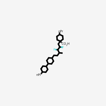 CCCC1CCC(C2CCC(CCC(C)C(F)C(F)CC3(C(=O)O)CCC(CCC)CC3)CC2)CC1